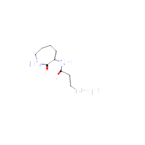 CCCCCCCCCC(=O)NC1CCCCNC1=O